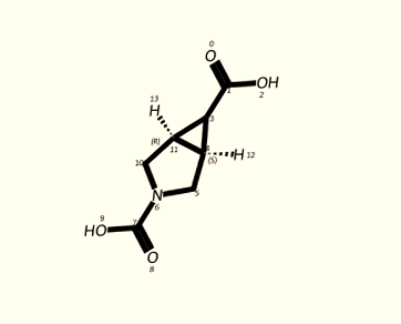 O=C(O)C1[C@H]2CN(C(=O)O)C[C@@H]12